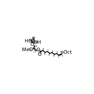 CCCCCCCC/C=C\CCCCCCCC(=O)OC[C@@H](COP(O)(O)=S)OC